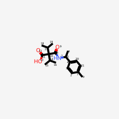 Cc1ccc(C(C)NC(=O)C(C(=O)O)(C(C)C)C(C)C)cc1